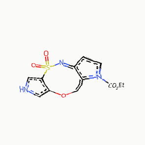 CCOC(=O)n1ccc2c1=COc1c[nH]cc1S(=O)(=O)N=2